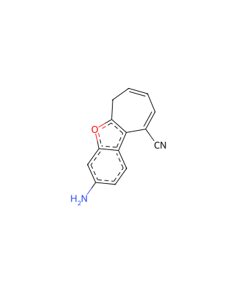 N#CC1=CC=CCc2oc3cc(N)ccc3c21